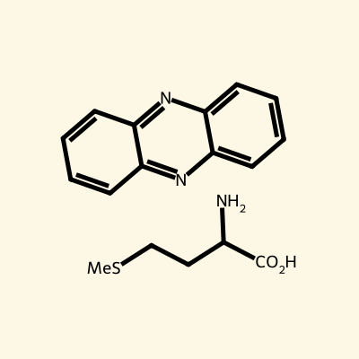 CSCCC(N)C(=O)O.c1ccc2nc3ccccc3nc2c1